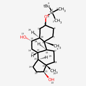 CC(C)(C)[Si](C)(C)OC1CC[C@@]2(C)[C@H](C1)[C@@H](O)C[C@@H]1[C@@H]2CC[C@]2(C)[C@@H](O)CC[C@@H]12